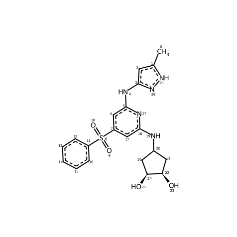 Cc1cc(Nc2cc(S(=O)(=O)c3ccccc3)cc(NC3C[C@@H](O)[C@@H](O)C3)n2)n[nH]1